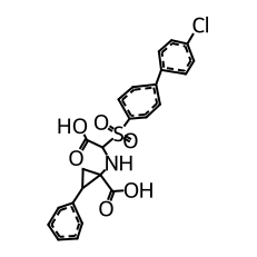 O=C(O)C(NC1(C(=O)O)CC1c1ccccc1)S(=O)(=O)c1ccc(-c2ccc(Cl)cc2)cc1